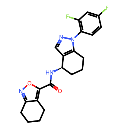 O=C(N[C@@H]1CCCc2c1cnn2-c1ccc(F)cc1F)c1onc2c1CCCC2